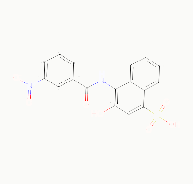 O=C(Nc1c(O)cc(S(=O)(=O)O)c2ccccc12)c1cccc([N+](=O)[O-])c1